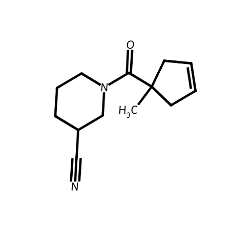 CC1(C(=O)N2CCCC(C#N)C2)CC=CC1